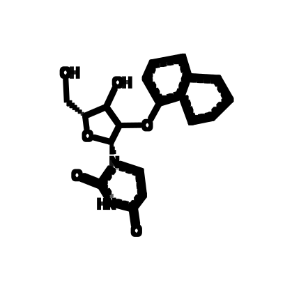 O=c1ccn([C@@H]2O[C@H](CO)C(O)C2Oc2cccc3ccccc23)c(=O)[nH]1